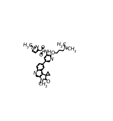 CN(C)CCCOc1ncc(-c2ccc3ncc4c(c3c2)C2(CC2)C(=O)N4C)cc1NS(=O)(=O)c1ccn(C)n1